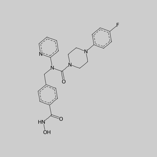 O=C(NO)c1ccc(CN(C(=O)N2CCN(c3ccc(F)cc3)CC2)c2ccccn2)cc1